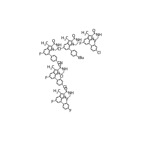 Cc1c2n(c3c(-c4ccc(C#N)cc4)cc(F)cc13)CCNC2=O.Cc1c2n(c3c(-c4ccc(C(C)(C)C)cc4)cc(Cl)cc13)CCNC2=O.Cc1c2n(c3c(-c4ccc(Cl)cc4Cl)cc(F)cc13)CCNC2=O.Cc1c2n(c3c(-c4ccc(Cl)cc4F)cc(F)cc13)CCNC2=O.Cc1c2n(c3c(-c4ccc(F)cc4F)cc(F)cc13)CCNC2=O